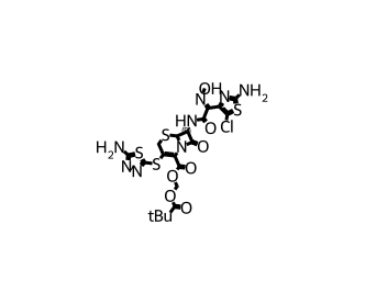 CC(C)(C)C(=O)OCOC(=O)C1=C(Sc2nnc(N)s2)CSC2[C@H](NC(=O)C(=NO)c3nc(N)sc3Cl)C(=O)N12